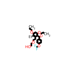 C=CCOc1cc(OCC=C)c(C(=O)c2ccc(OC(F)F)cc2)c(CCOCCO)c1CC